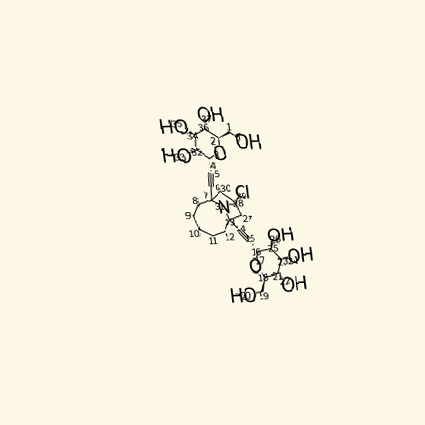 OC[C@H]1O[C@H](C#CC23CCCCCC4(C#C[C@H]5O[C@H](CO)[C@@H](O)[C@H](O)[C@@H]5O)CC(Cl)(C2)N34)[C@@H](O)[C@@H](O)[C@@H]1O